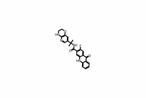 CC(C)(NC(=O)c1cc2[nH]c3ccccc3c(=O)c2cc1F)c1cnc2c(c1)OCCN2